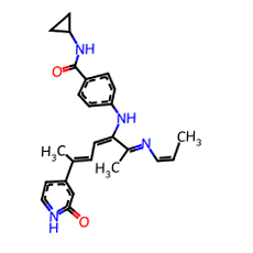 C\C=C/N=C(C)/C(=C\C=C(/C)c1cc[nH]c(=O)c1)Nc1ccc(C(=O)NC2CC2)cc1